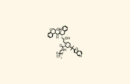 CC(C)(c1cc2cnccc2o1)N1CCN(C[C@@H](O)C[C@@H](Cc2ccccc2)C(=O)N[C@H]2c3ccccc3OC[C@H]2O)[C@H](C(=O)NCC(F)(F)C(F)(F)F)C1